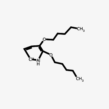 CCCCCOC1=[C](OCCCCC)[AlH][Cl+]C=C1